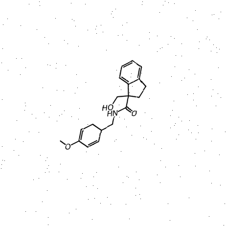 COC1=CCC(CNC(=O)C2(CO)CCc3ccccc32)C=C1